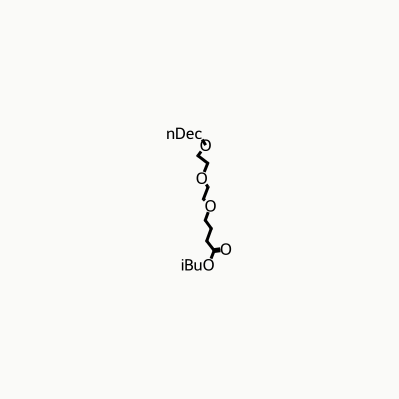 CCCCCCCCCCOCCOCCOCCCC(=O)OCC(C)C